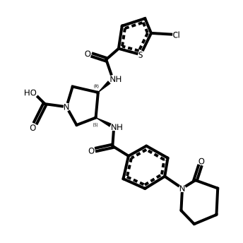 O=C(N[C@H]1CN(C(=O)O)C[C@H]1NC(=O)c1ccc(Cl)s1)c1ccc(N2CCCCC2=O)cc1